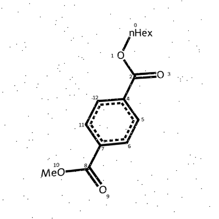 CCCCCCOC(=O)c1ccc(C(=O)OC)cc1